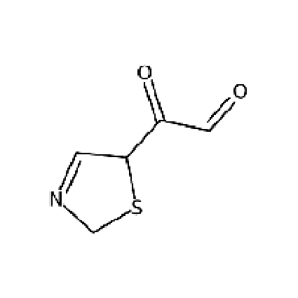 O=CC(=O)C1C=NCS1